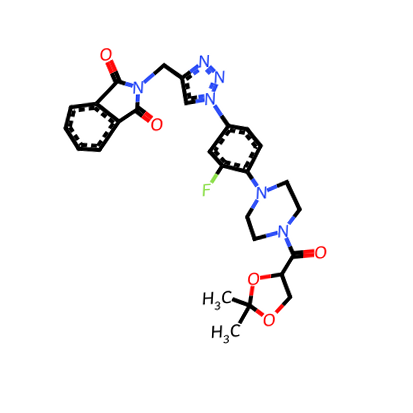 CC1(C)OCC(C(=O)N2CCN(c3ccc(-n4cc(CN5C(=O)c6ccccc6C5=O)nn4)cc3F)CC2)O1